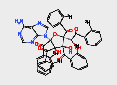 [2H]c1ccccc1C(=O)C(O)[C@@]1(C(=O)c2ccccc2[2H])O[C@@](C(=O)c2ccccc2[2H])(n2cnc3c(N)ncnc32)[C@@](O)(C(=O)c2ccccc2[2H])[C@@]1(O)C(=O)c1ccccc1[2H]